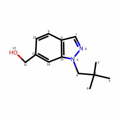 CC(C)(C)Cn1ncc2ccc(CO)cc21